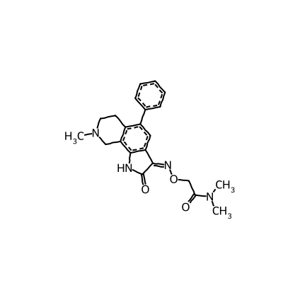 CN1CCc2c(-c3ccccc3)cc3c(c2C1)NC(=O)C3=NOCC(=O)N(C)C